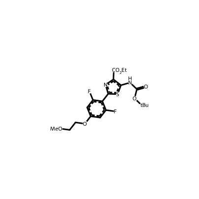 CCOC(=O)c1nc(-c2c(F)cc(OCCOC)cc2F)sc1NC(=O)OC(C)(C)C